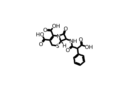 O=C(O)C1=C(C(=O)O)N2C(=O)C(NC(=O)C(C(=O)O)c3ccccc3)[C@@H]2SC1